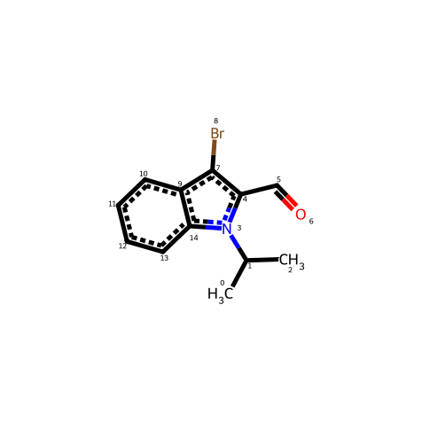 CC(C)n1c(C=O)c(Br)c2ccccc21